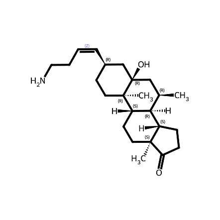 C[C@@H]1C[C@@]2(O)C[C@H](/C=C\CCN)CC[C@]2(C)[C@H]2CC[C@]3(C)C(=O)CC[C@H]3[C@H]12